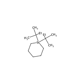 CCC(C)(C)[Si]1(C(C)(C)CC)CCCCC1